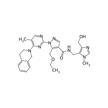 CCOCc1c(C(=O)NCc2c(CO)ncn2C)cnn1-c1ncc(C)c(N2CCc3ccccc3C2)n1